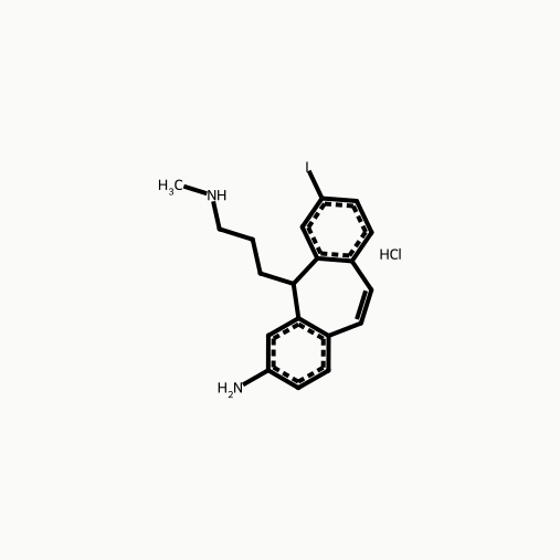 CNCCCC1c2cc(N)ccc2C=Cc2ccc(I)cc21.Cl